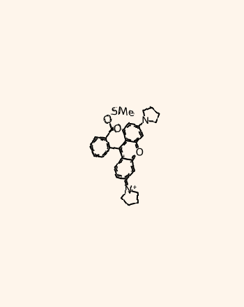 CSOC(=O)c1ccccc1-c1c2ccc(=[N+]3CCCC3)cc-2oc2cc(N3CCCC3)ccc12